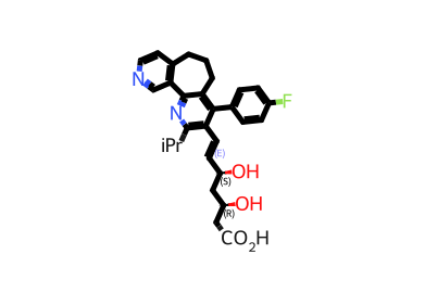 CC(C)c1nc2c(c(-c3ccc(F)cc3)c1/C=C/[C@@H](O)C[C@@H](O)CC(=O)O)CCCc1ccncc1-2